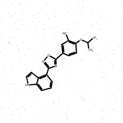 CC(Oc1ccc(-c2nc(-c3cccc4[nH]ccc34)no2)cc1C#N)C(F)(F)F